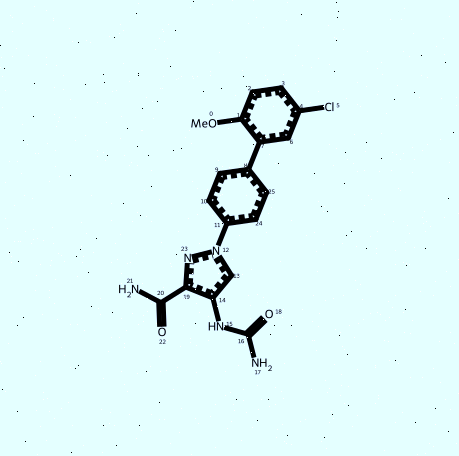 COc1ccc(Cl)cc1-c1ccc(-n2cc(NC(N)=O)c(C(N)=O)n2)cc1